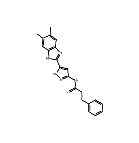 Cc1cc2nc(-c3cc(NC(=O)CCc4ccccc4)n[nH]3)[nH]c2cc1C